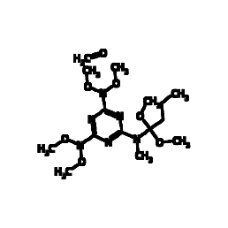 C=O.CCCC(OC)(OC)N(C)c1nc(N(OC)OC)nc(N(OC)OC)n1